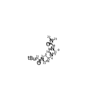 C[C@@H]1CN(CC2CCN(C(=O)CC(C)(C)C)CC2)CCN1CC(=O)N(C)C